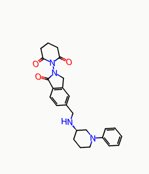 O=C1c2ccc(CN[C@@H]3CCCN(c4ccccc4)C3)cc2CN1N1C(=O)CCCC1=O